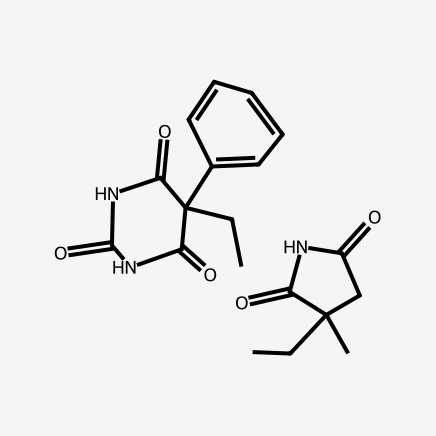 CCC1(C)CC(=O)NC1=O.CCC1(c2ccccc2)C(=O)NC(=O)NC1=O